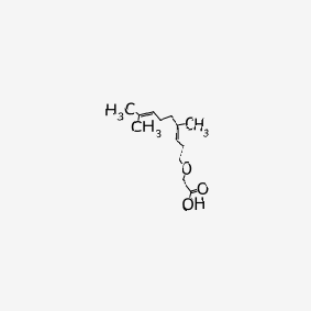 CC(C)=CCCC(C)=CCCOCC(=O)O